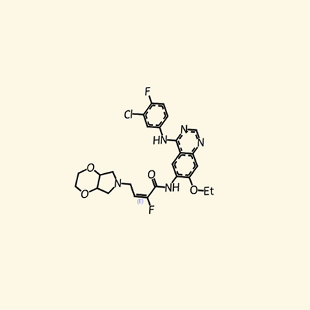 CCOc1cc2ncnc(Nc3ccc(F)c(Cl)c3)c2cc1NC(=O)/C(F)=C\CN1CC2OCCOC2C1